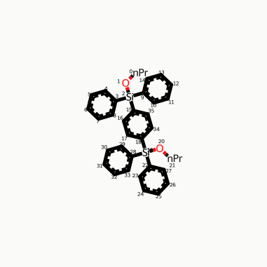 CCCO[Si](c1ccccc1)(c1ccccc1)c1ccc([Si](OCCC)(c2ccccc2)c2ccccc2)cc1